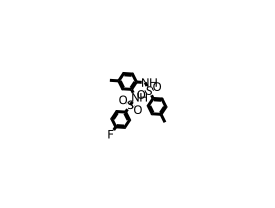 Cc1ccc(S(=O)(=O)Nc2ccc(C)cc2NS(=O)(=O)c2ccc(F)cc2)cc1